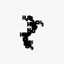 COCCc1[nH]c2cc(OCCNC[C@H](O)c3cccc(NS(C)(=O)=O)c3)ccc2c1C